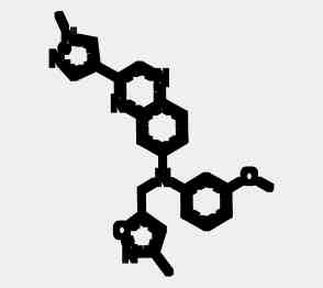 COc1cccc(N(Cc2cc(C)no2)c2ccc3ncc(-c4cnn(C)c4)nc3c2)c1